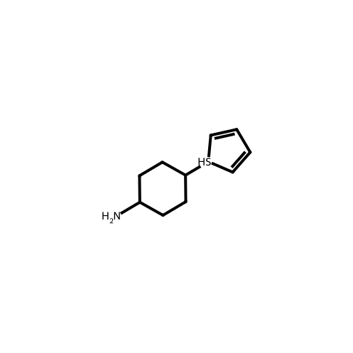 NC1CCC([SH]2C=CC=C2)CC1